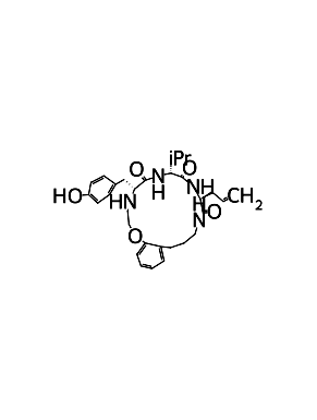 C=CC[C@@H]1NC(=O)[C@@H](C(C)C)NC(=O)[C@@H](Cc2ccc(O)cc2)NCCOc2ccccc2CCCNC1=O